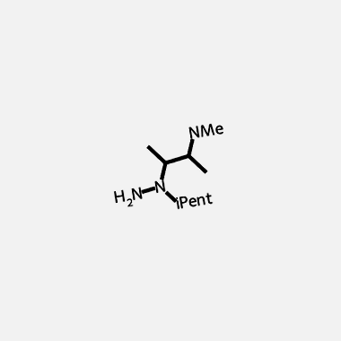 CCCC(C)N(N)C(C)C(C)NC